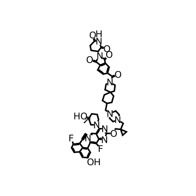 C#Cc1c(F)ccc2cc(O)cc(-c3ncc4c(N5CCC[C@@](C)(O)C5)nc(OCC5(CN6CCN(CC7CCC8(CC7)CCN(C(=O)c7ccc9c(c7)C(=O)N(C7CCC(=O)NC7=O)C9=O)CC8)CC6)CC5)nc4c3F)c12